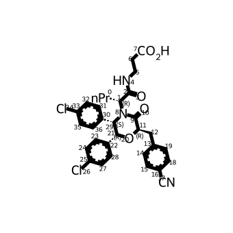 CCC[C@H](C(=O)NCCC(=O)O)N1C(=O)[C@@H](Cc2ccc(C#N)cc2)O[C@H](c2ccc(Cl)cc2)[C@@H]1c1ccc(Cl)cc1